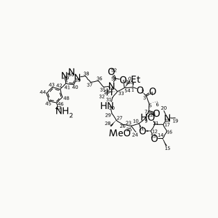 CC[C@H]1OC(=O)[C@H](C)C(=O)C[C@@H](O[C@@H]2O[C@H](C)CC(N(C)C)C2O)[C@](C)(OC)C[C@@H](C)CN[C@H](C)[C@H]2N(CCCCn3cc(-c4cccc(N)c4)nn3)C(=O)O[C@]12C